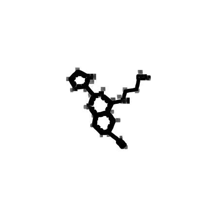 C#Cc1ccc2nc(-c3ncc[nH]3)nc(NCCOC)c2c1